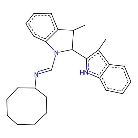 Cc1c(C2C(C)c3ccccc3N2C=NC2CCCCCCC2)[nH]c2ccccc12